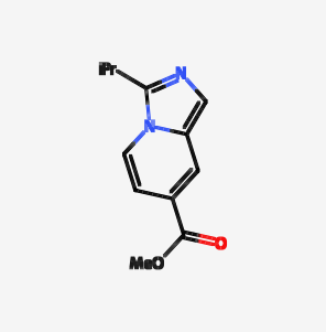 COC(=O)c1ccn2c(C(C)C)ncc2c1